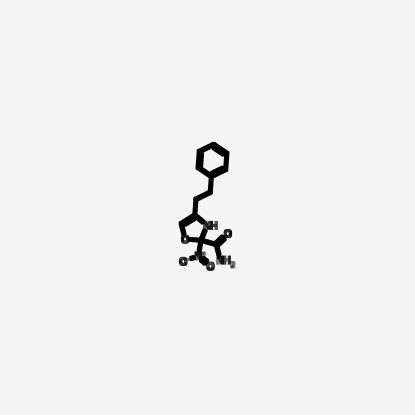 NC(=O)C1([N+](=O)[O-])NC(CCc2ccccc2)=CO1